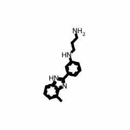 Cc1cccc2[nH]c(-c3cccc(NCCCN)c3)nc12